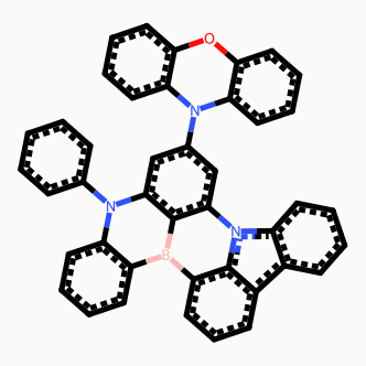 c1ccc(N2c3ccccc3B3c4c2cc(N2c5ccccc5Oc5ccccc52)cc4-n2c4ccccc4c4cccc3c42)cc1